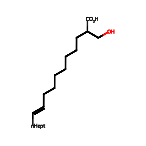 CCCCCCCC=CCCCCCCCC(CO)C(=O)O